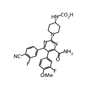 COc1ccc(-c2c(C(N)=O)nc(N3CCC(NC(=O)O)CC3)nc2-c2ccc(C#N)c(F)c2)cc1F